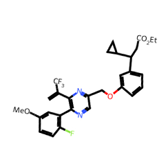 C=C(c1nc(COc2cccc(C(CC(=O)OCC)C3CC3)c2)cnc1-c1cc(OC)ccc1F)C(F)(F)F